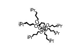 CC(C)CCCOC1(OCCCC(C)C)CC[Si](OCCCC(C)C)(OCCCC(C)C)[Si](OCCCC(C)C)(OCCCC(C)C)O1